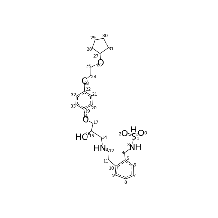 O=[SH](=O)NCc1ccccc1CCNCC(O)COc1ccc(OCCOC2CCCC2)cc1